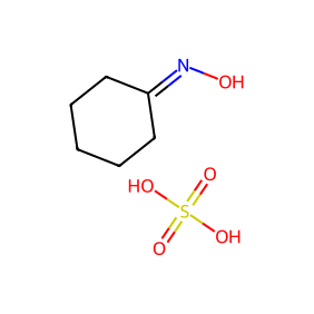 O=S(=O)(O)O.ON=C1CCCCC1